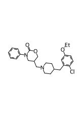 CCOc1ccc(Cl)c(CC2CCN(CC3COC(=O)N(c4ccccc4)C3)CC2)c1